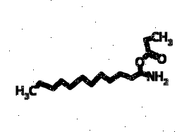 CCCCCCCCCCCC(N)OC(=O)CC